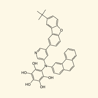 CC(C)(C)c1ccc2oc3ccc(-c4cncc(N(c5ccc6ccc7ccccc7c6c5)c5c(O)c(O)c(O)c(O)c5O)c4)cc3c2c1